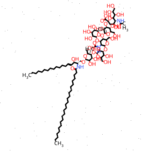 CCCCCCCCCCCCC/C=C/[C@@H](O)[C@H](CO[C@@H]1OC(CO)[C@@H](O[C@@H]2OC(CO)[C@H](O)[C@H](O[C@@H]3OC(CO)[C@@H](O[C@@H]4OC(CO)[C@H](O)[C@H](O[C@]5(C(=O)O)CC(O)[C@@H](NC(C)=O)C([C@H](O)[C@H](O)CO)O5)C4O)[C@H](O[C@H]4OC(C)[C@@H](O)C(O)[C@@H]4O)C3NC(C)=O)C2O)[C@H](O)C1O)NC(=O)CCCCCCCCCCCCCCCCCCCCCCCCC